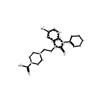 O=C(O)N1CCN(CCn2c(=O)n(C3=CCCCC3)c3ncc(Br)cc32)CC1